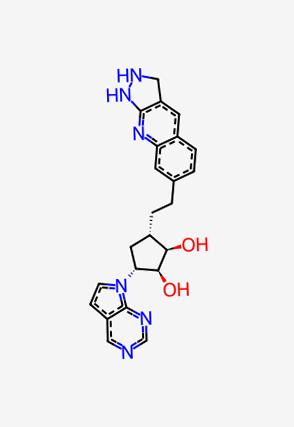 O[C@@H]1[C@@H](CCc2ccc3cc4c(nc3c2)NNC4)C[C@@H](n2ccc3cncnc32)[C@@H]1O